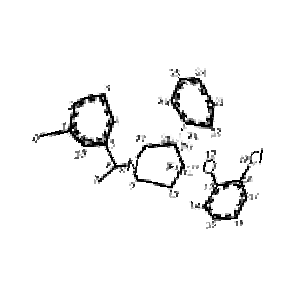 Cc1cccc(C(C)N2CC[C@@H](Oc3ccccc3Cl)[C@@H](c3ccccc3)C2)c1